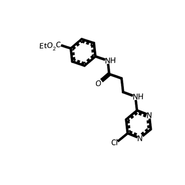 CCOC(=O)c1ccc(NC(=O)CCNc2cc(Cl)ncn2)cc1